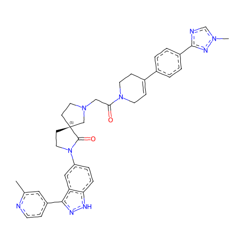 Cc1cc(-c2n[nH]c3ccc(N4CC[C@]5(CCN(CC(=O)N6CC=C(c7ccc(-c8ncn(C)n8)cc7)CC6)C5)C4=O)cc23)ccn1